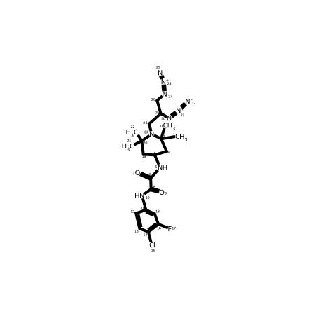 CC1(C)CC(NC(=O)C(=O)Nc2ccc(Cl)c(F)c2)CC(C)(C)N1CC(CN=[N+]=[N-])N=[N+]=[N-]